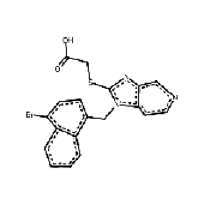 O=C(O)CSc1nc2cnccc2n1Cc1ccc(Br)c2ccccc12